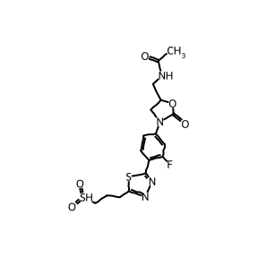 CC(=O)NCC1CN(c2ccc(-c3nnc(CCC[SH](=O)=O)s3)c(F)c2)C(=O)O1